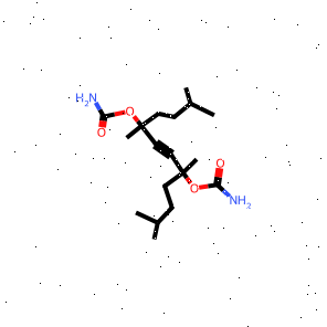 CC(C)CCC(C)(C#CC(C)(CCC(C)C)OC(N)=O)OC(N)=O